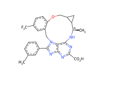 Cc1cccc(-c2nc3nc(C(=O)O)nc4c3n2Cc2cc(C(F)(F)F)ccc2OCC2CC2[C@@H](C)N4)c1